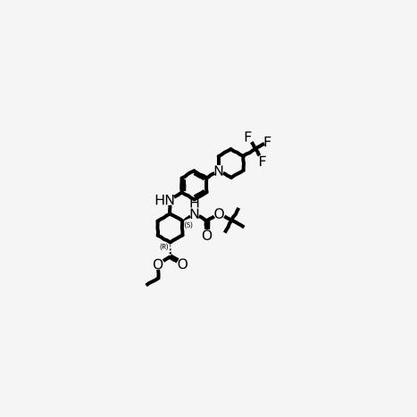 CCOC(=O)[C@@H]1CCC(Nc2ccc(N3CCC(C(F)(F)F)CC3)cc2)[C@@H](NC(=O)OC(C)(C)C)C1